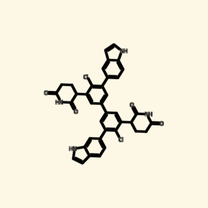 O=C1CCC(c2cc(-c3cc(-c4ccc5cc[nH]c5c4)c(Cl)c(C4CCC(=O)NC4=O)c3)cc(-c3ccc4[nH]ccc4c3)c2Cl)C(=O)N1